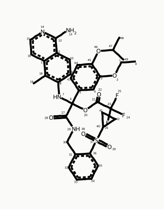 CCOc1cc(C(Nc2ccc3c(N)nccc3c2C)(OC(=O)C(F)(F)F)C(=O)NCc2ccccc2S(=O)(=O)C2CC2)ccc1OC(C)C